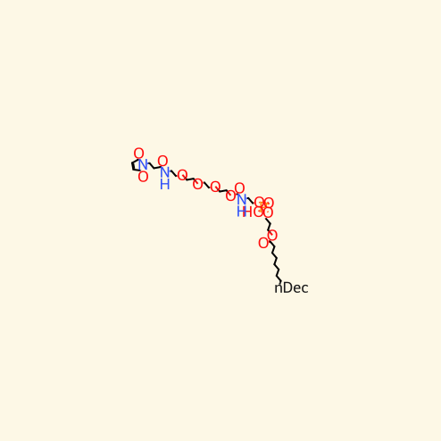 CCCCCCCCCCCCCCCCCC(=O)OCCCOP(=O)(O)OCCNC(=O)OCCOCCOCCOCCNC(=O)CCN1C(=O)C=CC1=O